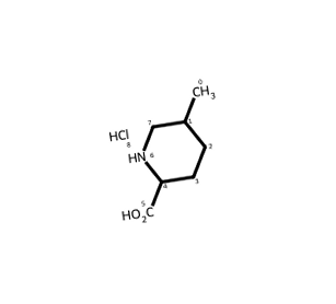 CC1CCC(C(=O)O)NC1.Cl